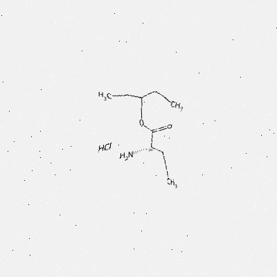 CCC(CC)OC(=O)[C@@H](N)CC.Cl